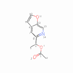 CC(=O)OC(C)c1cc2ccoc2cn1